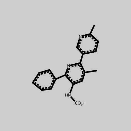 Cc1ccc(-c2nc(-c3ccccc3)c(NC(=O)O)cc2C)cn1